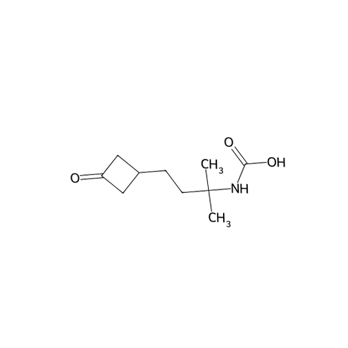 CC(C)(CCC1CC(=O)C1)NC(=O)O